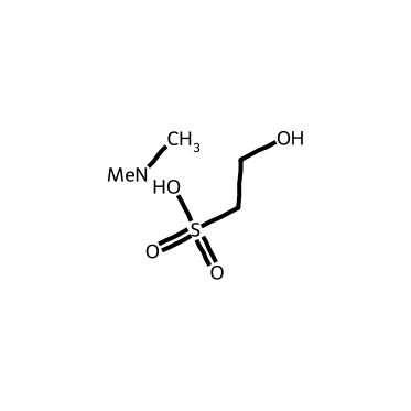 CNC.O=S(=O)(O)CCO